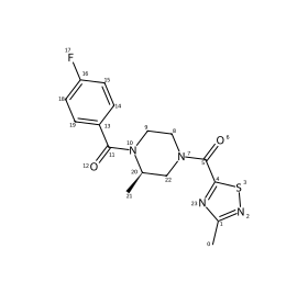 Cc1nsc(C(=O)N2CCN(C(=O)c3ccc(F)cc3)[C@H](C)C2)n1